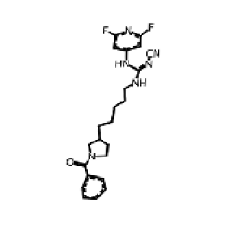 N#C/N=C(/NCCCCCC1CCN(C(=O)c2ccccc2)C1)Nc1cc(F)nc(F)c1